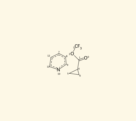 O=C(OC(F)(F)F)C1CC1.c1ccncc1